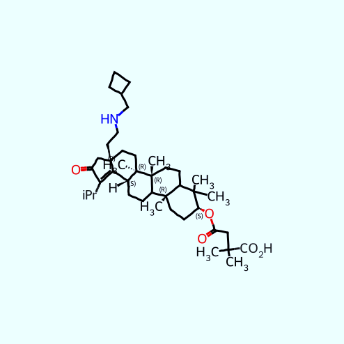 CC(C)C1=C2[C@H]3CCC4[C@@]5(C)CC[C@H](OC(=O)CC(C)(C)C(=O)O)C(C)(C)C5CC[C@@]4(C)[C@]3(C)CC[C@@]2(CCNCC2CCC2)CC1=O